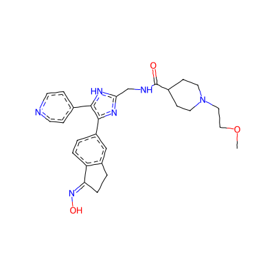 COCCN1CCC(C(=O)NCc2nc(-c3ccc4c(c3)CCC4=NO)c(-c3ccncc3)[nH]2)CC1